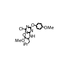 COC(=O)[C@H](CC(C)C)Nc1nc(Cl)nc(Oc2ccc(OC)cc2)n1